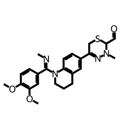 CN=C(c1ccc(OC)c(OC)c1)N1CCCc2cc(C3=NN(C)C(C=O)SC3)ccc21